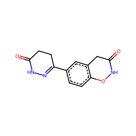 O=C1CCC(c2ccc3c(c2)CC(=O)NO3)=NN1